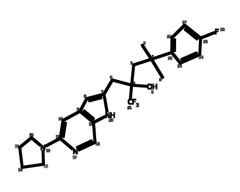 CC(C)(CC(O)(Cc1cc2cc(N3CCCC3)ncc2[nH]1)C(F)(F)F)c1ccc(F)cc1